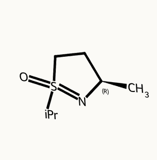 CC(C)S1(=O)=N[C@H](C)CC1